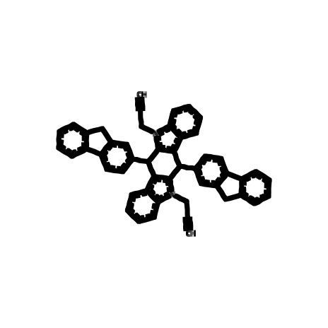 C#CCn1c2c(c3ccccc31)C(c1ccc3c(c1)Cc1ccccc1-3)c1c(c3ccccc3n1CC#C)C2c1ccc2c(c1)Cc1ccccc1-2